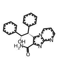 NC(=O)c1nc2ncccn2c1[C@@H](c1ccccc1)[C@H](O)c1ccccc1